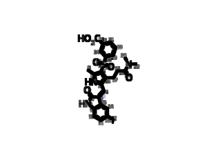 Cc1[nH]c(/C=C2\C(=O)Nc3ccc(F)cc32)c(CCC(=O)N(C)C)c1S(=O)(=O)c1cccc(C(=O)O)c1